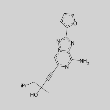 CC(C)CC(C)(O)C#Cc1cn2nc(-c3ccco3)nc2c(N)n1